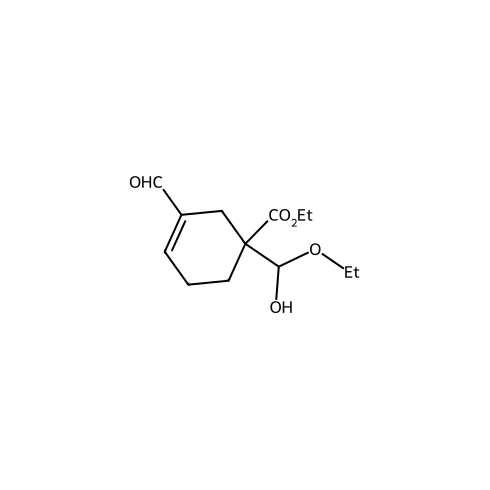 CCOC(=O)C1(C(O)OCC)CCC=C(C=O)C1